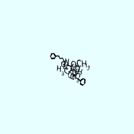 CC(=O)OC(c1noc(CCCc2ccccc2)n1)[C@@H](NC(=O)OCc1ccccc1)C(C)C